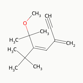 C#CC(=C)/C=C(/C(C)(C)C)C(C)(C)OC